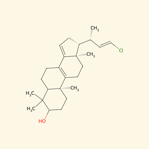 C[C@H](C=CCl)[C@H]1CC=C2C3=C(CC[C@@]21C)[C@@]1(C)CCC(O)C(C)(C)C1CC3